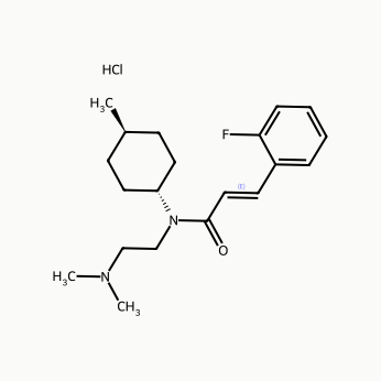 CN(C)CCN(C(=O)/C=C/c1ccccc1F)[C@H]1CC[C@H](C)CC1.Cl